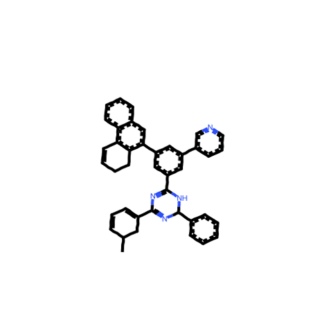 CC1C=CC=C(C2=NC(c3ccccc3)NC(c3cc(-c4cccnc4)cc(-c4cc5ccccc5c5c4CCC=C5)c3)=N2)C1